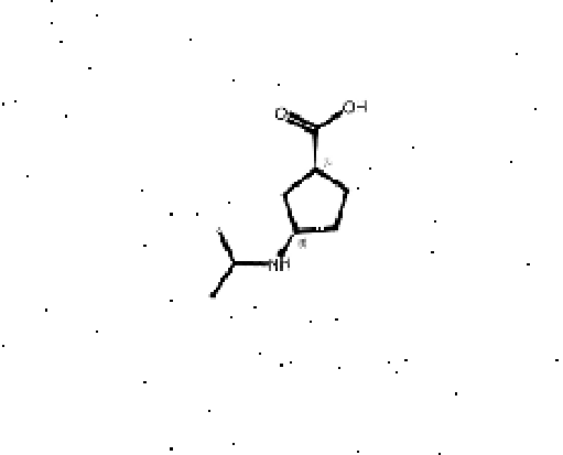 CC(C)N[C@@H]1CC[C@H](C(=O)O)C1